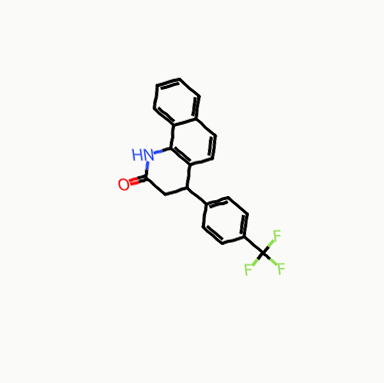 O=C1CC(c2ccc(C(F)(F)F)cc2)c2ccc3ccccc3c2N1